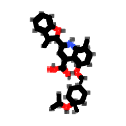 Cc1c(-c2cc(C(=O)O)c3c(OC[C@H]4CC[C@@](C)(OC(C)C)CC4)ccc(C)c3n2)oc2ccccc12